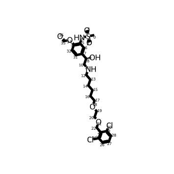 CS(=O)(=O)Nc1cc([C@@H](O)CNCCCCCCOCCOCc2c(Cl)cccc2Cl)ccc1OC=O